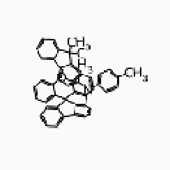 Cc1ccc(N(c2ccc3c(c2)C(C)(C)c2ccccc2-3)c2cccc3c2C2(c4ccccc4Oc4ccccc42)c2ccccc2-3)cc1